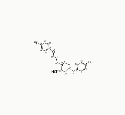 Cl.Fc1ccc(CC2CCN(CCCOc3ccc(F)cc3)CC2)cc1